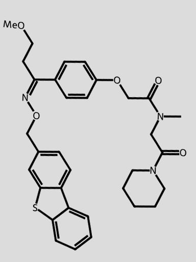 COCC/C(=N/OCc1ccc2c(c1)sc1ccccc12)c1ccc(OCC(=O)N(C)CC(=O)N2CCCCC2)cc1